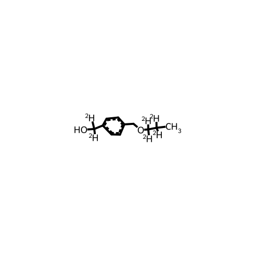 [2H]C([2H])(O)c1ccc(COC([2H])([2H])C([2H])([2H])C)cc1